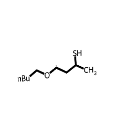 CCCCCO[CH]CC(C)S